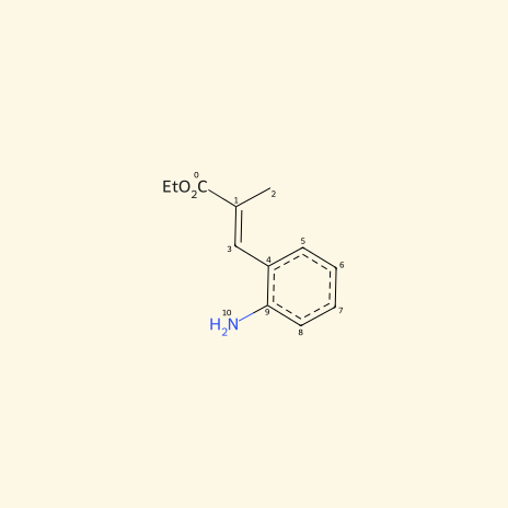 CCOC(=O)C(C)=Cc1ccccc1N